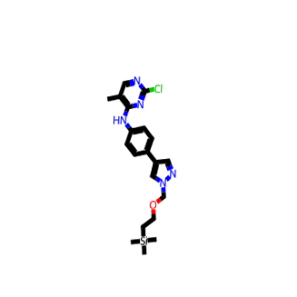 Cc1cnc(Cl)nc1Nc1ccc(-c2cnn(COCC[Si](C)(C)C)c2)cc1